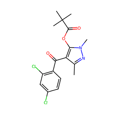 Cc1nn(C)c(OC(=O)C(C)(C)C)c1C(=O)c1ccc(Cl)cc1Cl